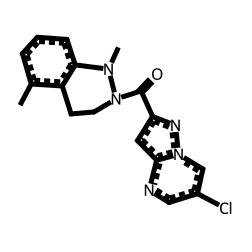 Cc1cccc2c1CCN(C(=O)c1cc3ncc(Cl)cn3n1)N2C